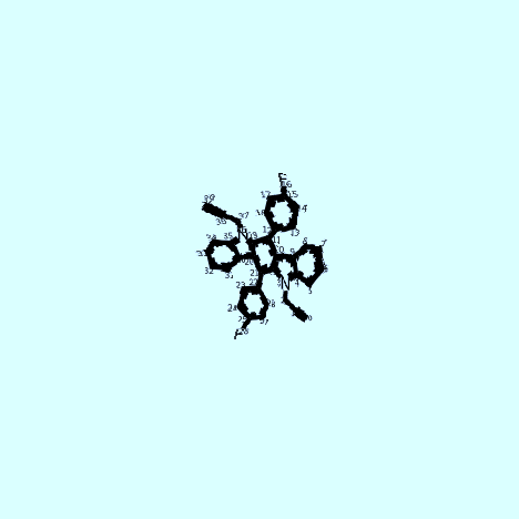 C#CCn1c2ccccc2c2c(-c3ccc(F)cc3)c3c(c(-c4ccc(F)cc4)c21)c1ccccc1n3CC#C